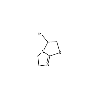 CC(C)C1CSC2=NCCN21